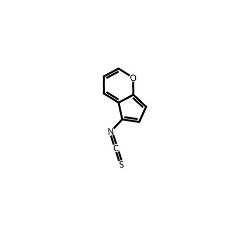 S=C=Nc1ccc2occcc1-2